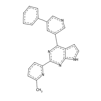 Cc1cccc(-c2nc(-c3cncc(-c4ccccc4)c3)c3cc[nH]c3n2)n1